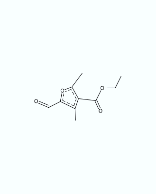 CCOC(=O)c1c(C)oc(C=O)c1C